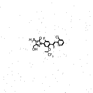 Bn1c(CO)nn(-c2cc(O[C@@H](C)C(F)(F)F)c(/C(F)=C/c3ncccc3Cl)cc2F)c1=O